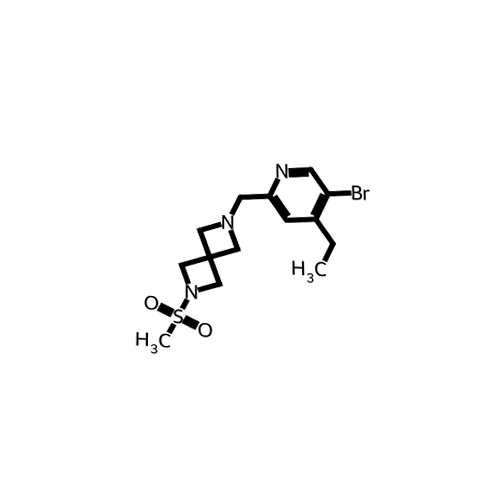 CCc1cc(CN2CC3(C2)CN(S(C)(=O)=O)C3)ncc1Br